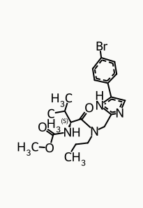 CCCN(Cc1ncc(-c2ccc(Br)cc2)[nH]1)C(=O)[C@@H](NC(=O)OC)C(C)C